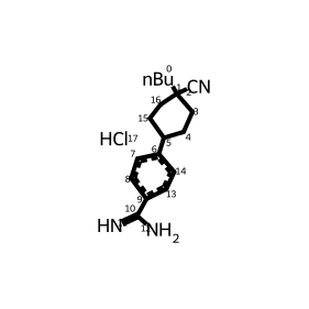 CCCCC1(C#N)CCC(c2ccc(C(=N)N)cc2)CC1.Cl